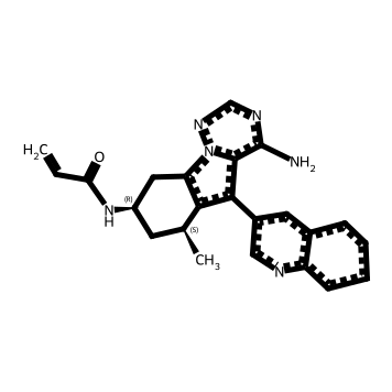 C=CC(=O)N[C@H]1Cc2c(c(-c3cnc4ccccc4c3)c3c(N)ncnn23)[C@@H](C)C1